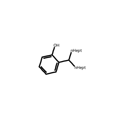 CCCCCCCC(CCCCCCC)c1ccccc1O